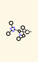 CC1C=CC2=C(C1)c1ccccc1C21c2ccc(-c3nc(-c4ccccc4)nc(-c4ccccc4)n3)cc2-n2c3ccccc3c3cccc1c32